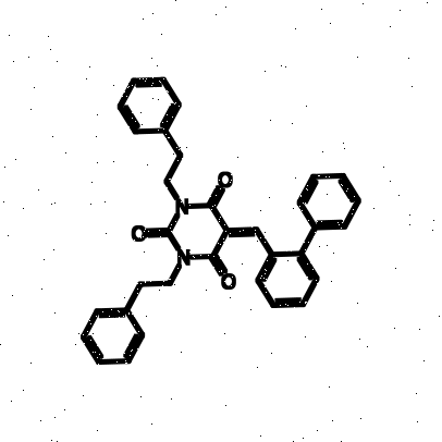 O=C1C(=Cc2ccccc2-c2ccccc2)C(=O)N(CCc2ccccc2)C(=O)N1CCc1ccccc1